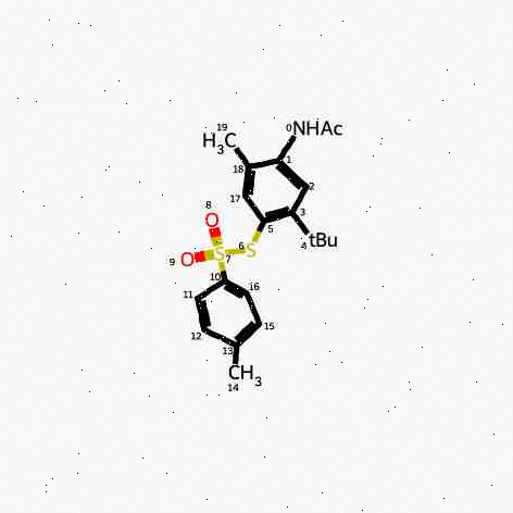 CC(=O)Nc1cc(C(C)(C)C)c(SS(=O)(=O)c2ccc(C)cc2)cc1C